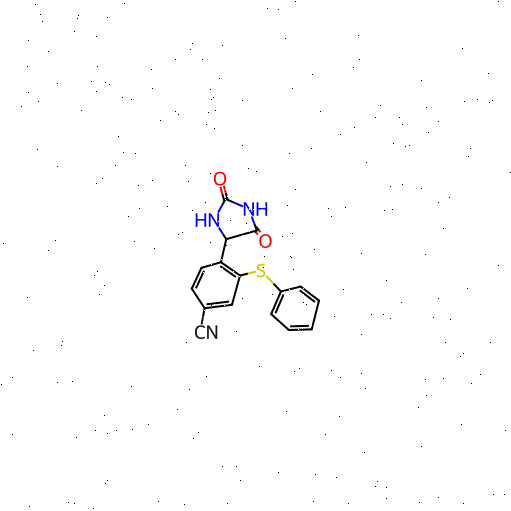 N#Cc1ccc(C2NC(=O)NC2=O)c(Sc2ccccc2)c1